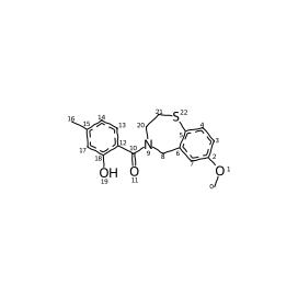 COc1ccc2c(c1)CN(C(=O)c1ccc(C)cc1O)CCS2